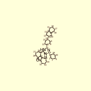 c1ccc(C2=NC(c3ccc(-c4ccc5ccccc5c4)cc3)NC(c3cccc4oc5ccccc5c34)N2)cc1